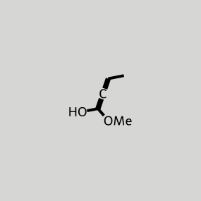 CC=C=C(O)OC